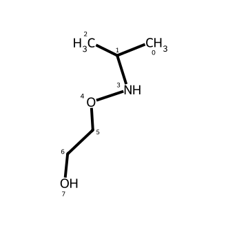 CC(C)NOCCO